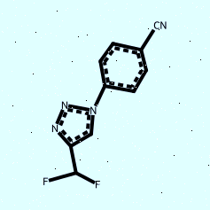 N#Cc1ccc(-n2cc(C(F)F)nn2)cc1